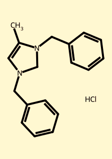 CC1=CN(Cc2ccccc2)CN1Cc1ccccc1.Cl